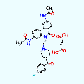 CC(=O)Nc1ccc(C(=O)N(CCN2CCC(C(=O)c3ccc(F)cc3)CC2)c2cccc(NC(C)=O)c2)cc1.O=C(O)/C=C/C(=O)O